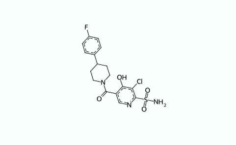 NS(=O)(=O)c1ncc(C(=O)N2CCC(c3ccc(F)cc3)CC2)c(O)c1Cl